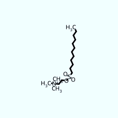 CCCCCCCCCCCCS(=O)(=O)OCC[N+](C)(C)C